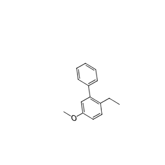 CCc1ccc(OC)cc1-c1ccccc1